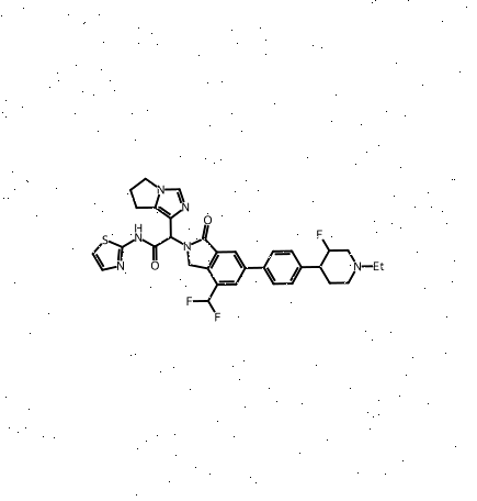 CCN1CCC(c2ccc(-c3cc4c(c(C(F)F)c3)CN(C(C(=O)Nc3nccs3)c3ncn5c3CCC5)C4=O)cc2)C(F)C1